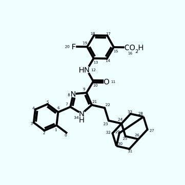 Cc1ccccc1-c1nc(C(=O)Nc2cc(C(=O)O)ccc2F)c(CCC23CC4CC(CC(C4)C2)C3)[nH]1